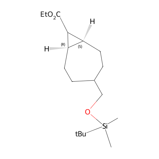 CCOC(=O)C1[C@H]2CCC(CO[Si](C)(C)C(C)(C)C)CC[C@@H]12